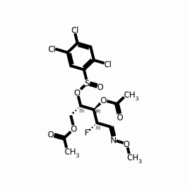 CON=C[C@H](F)[C@H](OC(C)=O)[C@H](COC(C)=O)OS(=O)c1cc(Cl)c(Cl)cc1Cl